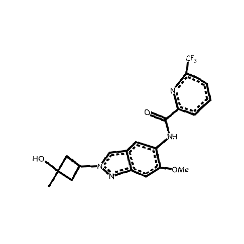 COc1cc2nn(C3CC(C)(O)C3)cc2cc1NC(=O)c1cccc(C(F)(F)F)n1